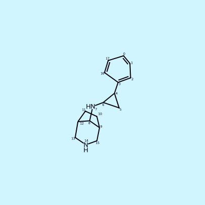 c1ccc(C2CC2NC2C3CCC2CNC3)cc1